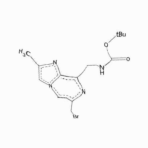 Cc1cn2cc(Br)nc(CNC(=O)OC(C)(C)C)c2n1